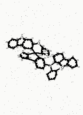 Cc1ccccc1N(c1ccc2c(c1)C1(c3ccccc3Oc3cc4oc5ccccc5c4cc31)c1ccccc1-2)c1cccc2c1oc1ccccc12